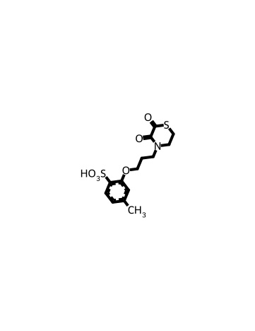 Cc1ccc(S(=O)(=O)O)c(OCCCN2CCSC(=O)C2=O)c1